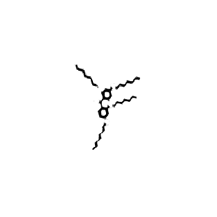 CCCCCCCOc1ccc(C(=O)c2ccc(OCCCCCCC)cc2OCCCCCCC)c(OCCCCCCC)c1